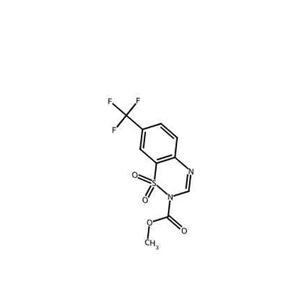 COC(=O)N1C=Nc2ccc(C(F)(F)F)cc2S1(=O)=O